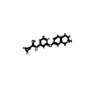 O=C(Nc1cc(Oc2ccc3c(c2)CNCC3)ccn1)C1CC1